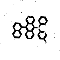 Fc1ccc(N(c2ccccc2)c2c3ccccc3c(-c3cccc4ccccc34)c3ccccc23)nc1